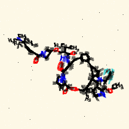 CO[C@@H](C)c1ncccc1-c1c2c3cc(ccc3n1CC(F)(F)F)-c1cccc(c1)C[C@H](NC(=O)C(COC1CN(C(=O)C#CC(C)(C)N(C)C)C1)C(C)C)C(=O)N1CCC[C@H](N1)C(=O)OCC(C)(C)C2